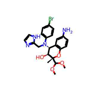 COC(OC)[C@@]1(C)Oc2ccc(N)cc2[C@@H](N(Cc2ncc[nH]2)c2ccc(Br)cc2)[C@@H]1O